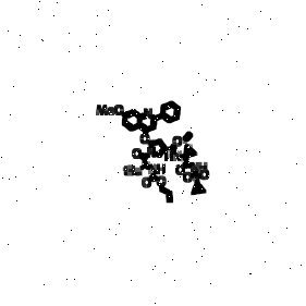 C=CCOC(=O)N[C@H](C(=O)N1C[C@H](C(=O)N[C@]2(C(=O)NS(=O)(=O)C3CC3)C[C@H]2C=C)C[C@@H]1Oc1cc(-c2ccccc2)nc2cc(OC)ccc12)C(C)(C)C